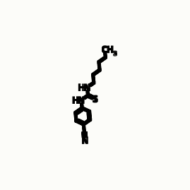 CCCCCCNC(=S)Nc1ccc(C#N)cc1